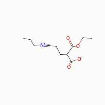 CCC[N+]#CCCC(C(=O)[O-])C(=O)OCC